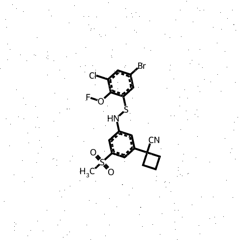 CS(=O)(=O)c1cc(NSc2cc(Br)cc(Cl)c2OF)cc(C2(C#N)CCC2)c1